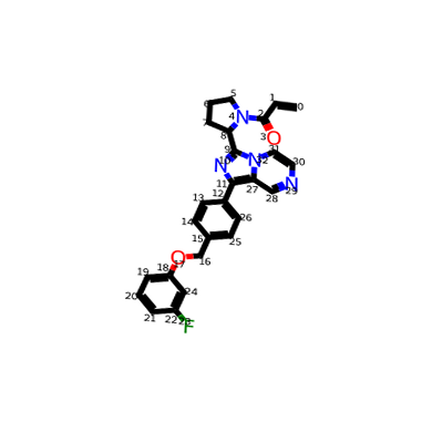 C=CC(=O)N1CCCC1c1nc(-c2ccc(COc3cccc(F)c3)cc2)c2cnccn12